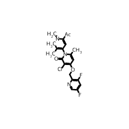 C=N/C(=C\C(=C(C)C)n1c(C)cc(OCc2ncc(F)cc2F)c(Cl)c1=O)C(C)=O